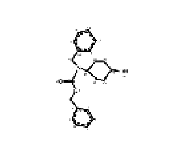 O=C(OCc1ccccc1)N(Cc1ccccc1)C1CCC(O)CC1